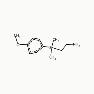 COc1ccc([Si](C)(C)CCN)cc1